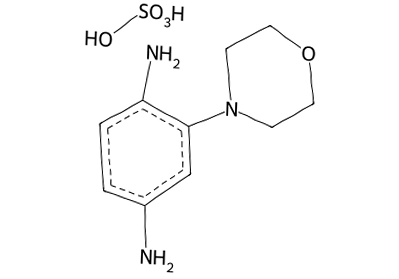 Nc1ccc(N)c(N2CCOCC2)c1.O=S(=O)(O)O